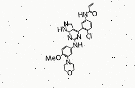 C=CC(=O)Nc1ccc(Cl)c(-c2nc(Nc3ccc(OC)c(N4CCOCC4)c3)nc3[nH]ncc23)c1